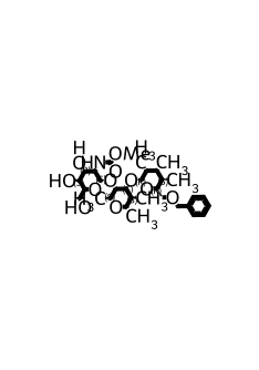 COC(=O)NC1[C@H](OC2[C@H](C)OC(C)[C@H](C)[C@@H]2O[C@H]2O[C@@H](COCc3ccccc3)[C@@H](C)C(C)C2C)OC(CO)[C@@H](O)[C@@H]1O